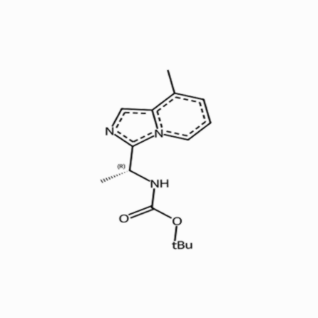 Cc1cccn2c([C@@H](C)NC(=O)OC(C)(C)C)ncc12